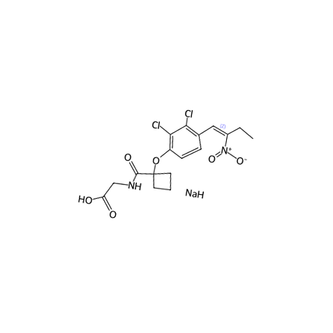 CC/C(=C/c1ccc(OC2(C(=O)NCC(=O)O)CCC2)c(Cl)c1Cl)[N+](=O)[O-].[NaH]